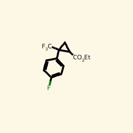 CCOC(=O)C1CC1(c1ccc(F)cc1)C(F)(F)F